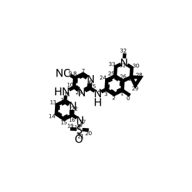 Cc1cc(Nc2ncc(C#N)c(Nc3cccc(N=S(C)(C)=O)n3)n2)cc2c1C1(CC1)CN(C)C2